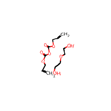 C=CCOC(=O)OC(=O)OCC=C.OCCOCCO